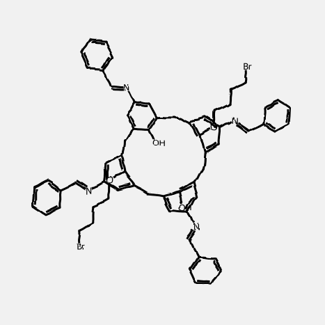 Oc1c2cc(/N=C/c3ccccc3)cc1Cc1cc(/N=C/c3ccccc3)cc(c1OCCCCBr)Cc1cc(/N=C/c3ccccc3)cc(c1O)Cc1cc(/N=C/c3ccccc3)cc(c1OCCCCBr)C2